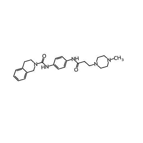 CN1CCN(CCC(=O)Nc2ccc(NC(=O)N3CCc4ccccc4C3)cc2)CC1